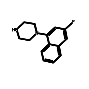 Fc1cc(N2CCNCC2)c2ccccc2c1